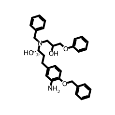 Nc1cc(CC[C@H](O)N(Cc2ccccc2)CC(O)COc2ccccc2)ccc1OCc1ccccc1